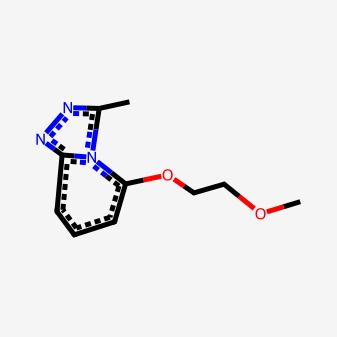 COCCOc1cccc2nnc(C)n12